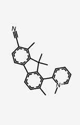 Cc1ccc2c(c1-c1cccc[n+]1C)C(C)(C)c1c-2ccc(C#N)c1C